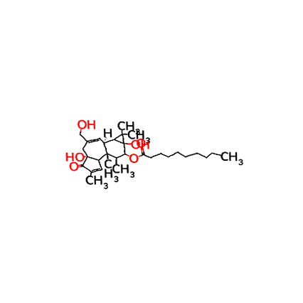 CCCCCCCCCC(=O)OC1[C@@H](C)[C@]2(C)C3C=C(C)C(=O)[C@@]3(O)CC(CO)=C[C@H]2C2C(C)(C)[C@]12O